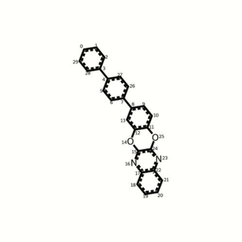 c1ccc(-c2ccc(-c3ccc4c(c3)Oc3nc5ccccc5nc3O4)cc2)cc1